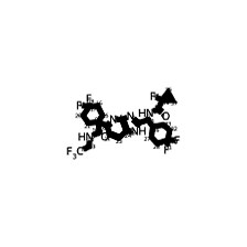 O=C(NC(c1nc2nc(C3(C(=O)NCC(F)(F)F)CCC(F)(F)CC3)ccc2[nH]1)C1CCC(F)(F)CC1)C1(F)CC1